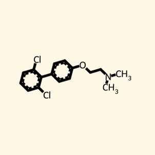 CN(C)CCOc1ccc(-c2c(Cl)cccc2Cl)cc1